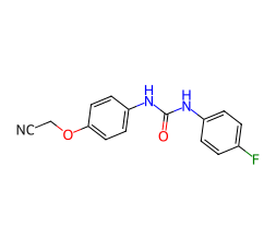 N#CCOc1ccc(NC(=O)Nc2ccc(F)cc2)cc1